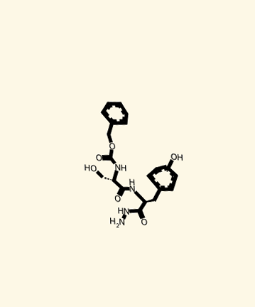 NNC(=O)[C@H](Cc1ccc(O)cc1)NC(=O)[C@H](CO)NC(=O)OCc1ccccc1